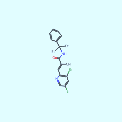 CCC(CC)(NC(=O)/C(C#N)=C/c1ncc(Br)cc1Br)c1ccccc1